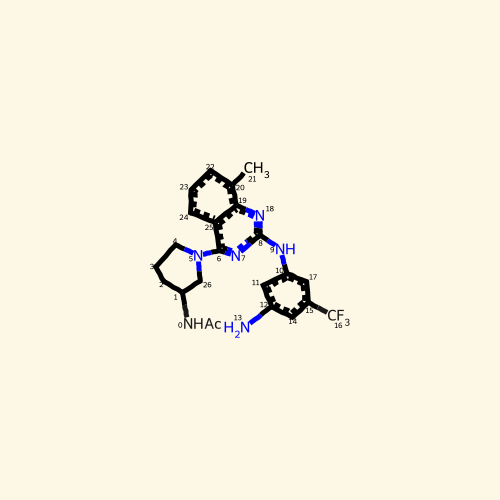 CC(=O)NC1CCCN(c2nc(Nc3cc(N)cc(C(F)(F)F)c3)nc3c(C)cccc23)C1